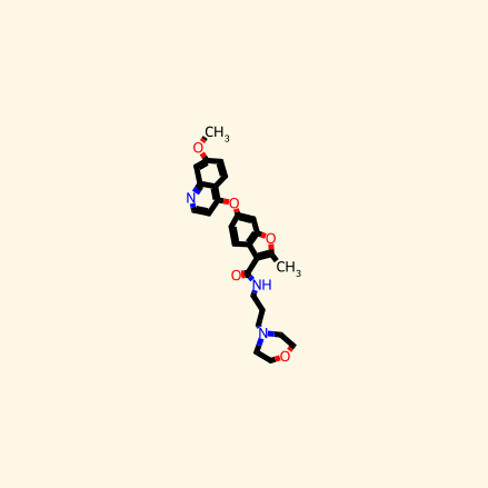 COc1ccc2c(Oc3ccc4c(C(=O)NCCCN5CCOCC5)c(C)oc4c3)ccnc2c1